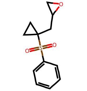 O=S(=O)(c1ccccc1)C1(CC2CO2)CC1